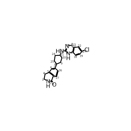 O=C1NCCc2cc(C3CCC(N/C(=N/I)Nc4ccc(Cl)cc4)CC3)ccc21